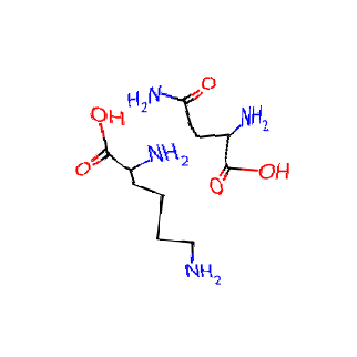 NC(=O)CC(N)C(=O)O.NCCCCC(N)C(=O)O